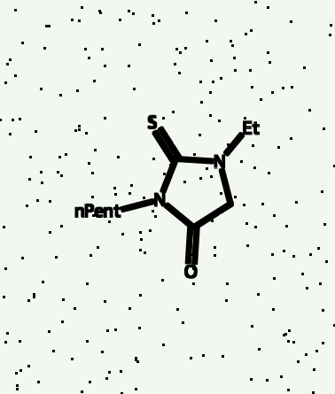 CCCCCN1C(=O)CN(CC)C1=S